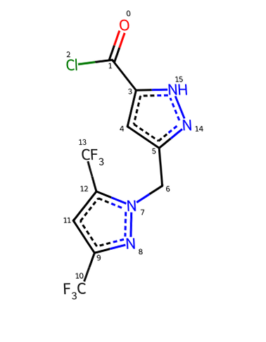 O=C(Cl)c1cc(Cn2nc(C(F)(F)F)cc2C(F)(F)F)n[nH]1